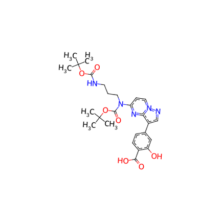 CC(C)(C)OC(=O)NCCCN(C(=O)OC(C)(C)C)c1ccn2ncc(-c3ccc(C(=O)O)c(O)c3)c2n1